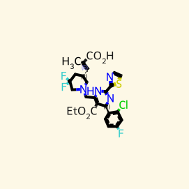 CCOC(=O)C1=C(CN2C[C@@H](/C=C(\C)C(=O)O)CC(F)(F)C2)NC(c2nccs2)=N[C@H]1c1ccc(F)cc1Cl